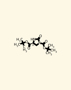 CC(C)(C)OC(=O)[C@@H]1CN(C(=O)OC(C)(C)C)C(=O)N1